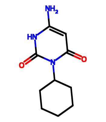 Nc1cc(=O)n(C2CCCCC2)c(=O)[nH]1